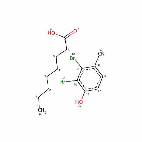 CCCCCCCC(=O)O.N#Cc1ccc(O)c(Br)c1Br